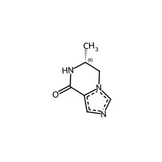 C[C@@H]1Cn2cncc2C(=O)N1